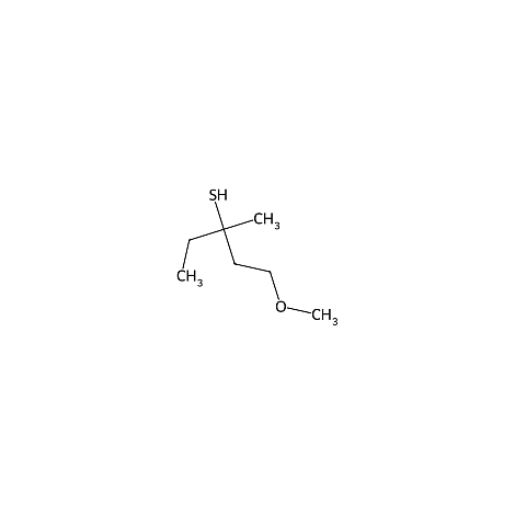 CCC(C)(S)CCOC